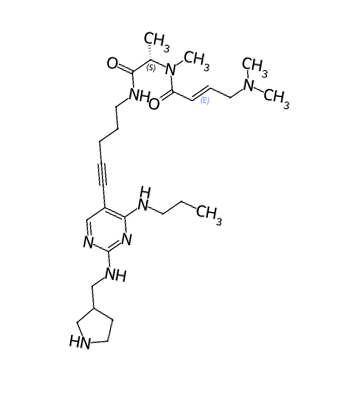 CCCNc1nc(NCC2CCNC2)ncc1C#CCCCNC(=O)[C@H](C)N(C)C(=O)/C=C/CN(C)C